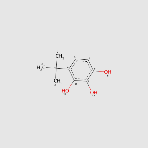 CC(C)(C)c1ccc(O)c(O)c1O